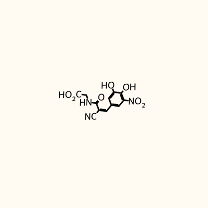 N#CC(=Cc1cc(O)c(O)c([N+](=O)[O-])c1)C(=O)NCC(=O)O